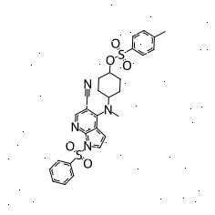 Cc1ccc(S(=O)(=O)OC2CCC(N(C)c3c(C#N)cnc4c3ccn4S(=O)(=O)c3ccccc3)CC2)cc1